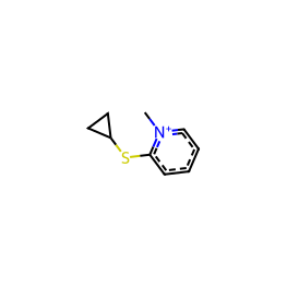 C[n+]1ccccc1SC1CC1